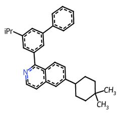 CC(C)c1cc(-c2ccccc2)cc(-c2nccc3cc(C4CCC(C)(C)CC4)ccc23)c1